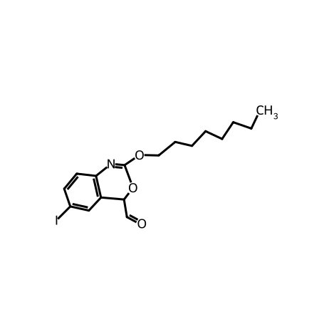 CCCCCCCCOC1=Nc2ccc(I)cc2C(C=O)O1